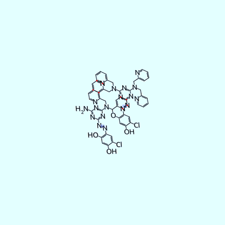 Nc1nc(/N=N/c2cc(Cl)c(O)cc2O)nc(N(Cc2ccccn2)C(Oc2cc(O)c(Cl)cc2/N=N/c2nc(N(Cc3ccccn3)Cc3ccccn3)nc(N(Cc3ccccn3)Cc3ccccn3)n2)c2ccccn2)n1